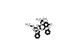 CCOC(=O)C[N+](Cc1ccccc1)(C(C)=O)[C@@H]1O[C@@H](c2ccccc2Cl)c2cc(Cl)ccc2N(CC(C)(C)C)C1=O